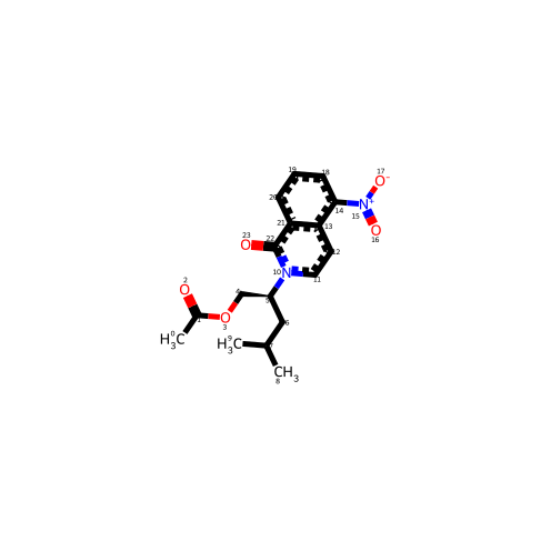 CC(=O)OC[C@H](CC(C)C)n1ccc2c([N+](=O)[O-])cccc2c1=O